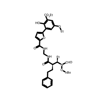 CCCCON(C=O)[C@H](CC)[C@@H](CCc1ccccc1)C(=O)NCNC(=O)c1ccc(-c2cc(OCC)cc(C(=O)OCC)c2O)o1